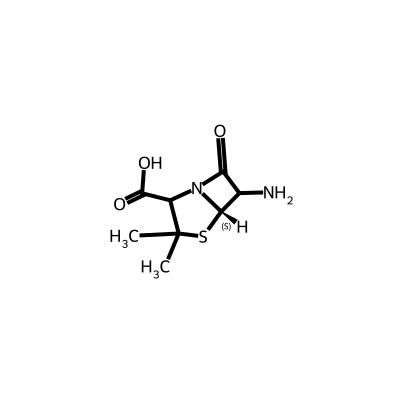 CC1(C)S[C@H]2C(N)C(=O)N2C1C(=O)O